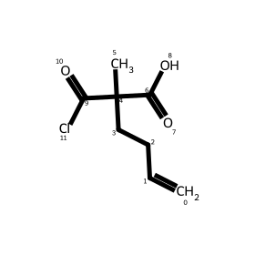 C=CCCC(C)(C(=O)O)C(=O)Cl